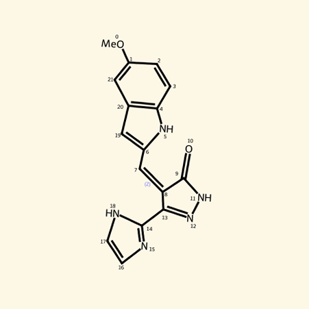 COc1ccc2[nH]c(/C=C3\C(=O)NN=C3c3ncc[nH]3)cc2c1